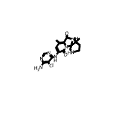 Cc1cc(Nc2ncnc(N)c2Cl)c(=O)n2c1C(=O)NC21CNCCC1(C)C